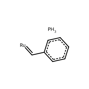 P.[Ru]=[CH]c1ccccc1